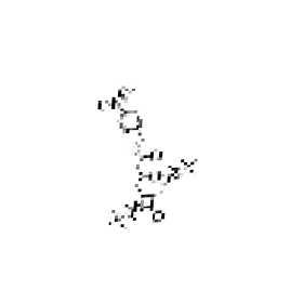 C[C@@H](O[Si](C)(C)C(C)(C)C)C1C(=O)N([Si](C)(C)C(C)(C)C)C1CC(=O)CC(=O)OCc1ccc([N+](=O)[O-])cc1